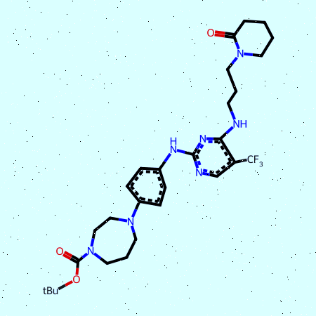 CC(C)(C)OC(=O)N1CCCN(c2ccc(Nc3ncc(C(F)(F)F)c(NCCCN4CCCCC4=O)n3)cc2)CC1